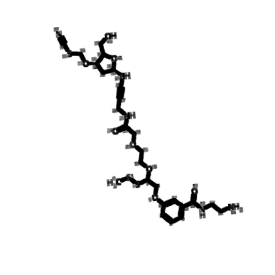 CSSC(COc1cccc(C(=O)NCCN)c1)OCCOCC(=O)NCC#CB[C@H]1C[C@@H](OCSC#N)C(CO)O1